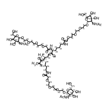 CC(=O)N[C@H]1[C@H](OCCOCCOCCOCC(=O)NCCCC[C@H](NC(=O)COCCOCCOCCO[C@@H]2O[C@H](CO)[C@H](O)[C@H](O)[C@H]2NC(C)=O)C(=O)CC[C@@H](C)[C@H](CCCCNC(=O)COCCOCCOCCO[C@@H]2O[C@H](CO)[C@H](O)[C@H](O)[C@H]2NC(C)=O)C(=O)[C@H](C)I)O[C@H](CO)[C@H](O)[C@@H]1O